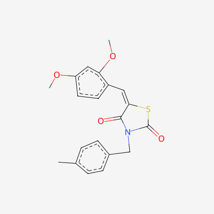 COc1ccc(C=C2SC(=O)N(Cc3ccc(C)cc3)C2=O)c(OC)c1